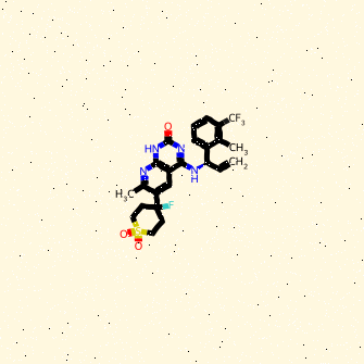 C=C[C@@H](Nc1nc(=O)[nH]c2nc(C)c(C3(F)CCS(=O)(=O)CC3)cc12)c1cccc(C(F)(F)F)c1C